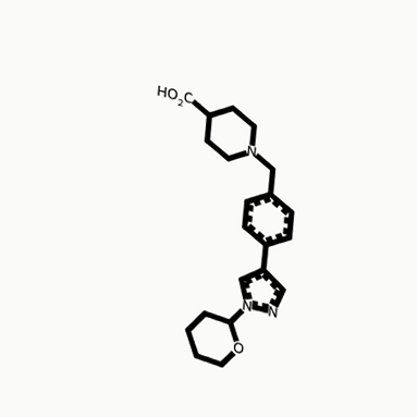 O=C(O)C1CCN(Cc2ccc(-c3cnn(C4CCCCO4)c3)cc2)CC1